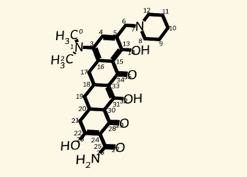 CN(C)c1cc(CN2CCCCC2)c(O)c2c1CC1CC3CC(O)=C(C(N)=O)C(=O)C3C(O)=C1C2=O